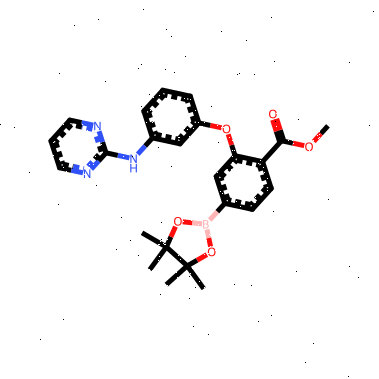 COC(=O)c1ccc(B2OC(C)(C)C(C)(C)O2)cc1Oc1cccc(Nc2ncccn2)c1